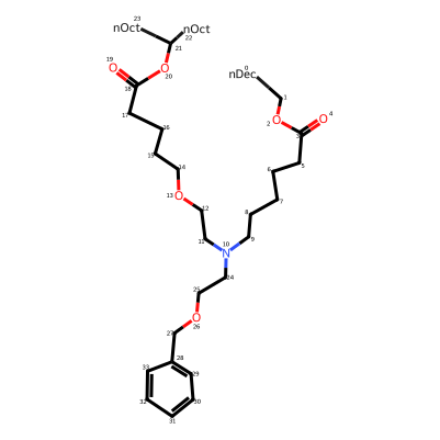 CCCCCCCCCCCOC(=O)CCCCCN(CCOCCCCC(=O)OC(CCCCCCCC)CCCCCCCC)CCOCc1ccccc1